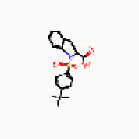 CC(C)(C)c1ccc(S(=O)(=O)n2c(C(=O)O)cc3ccccc32)cc1